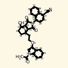 CC(=O)n1cc(OCCC23CCC(C)(O2)C2C(=O)N(c4ccc(C#N)c5ccccc45)C(=O)C23)c2ccccc21